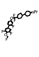 CCCC1CCC(C2CCC(C(F)(F)Oc3ccc(-c4cc(F)c(OCF)c(F)c4)c(F)c3)CC2)CC1